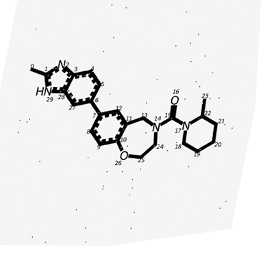 Cc1nc2ccc(-c3ccc4c(c3)CN(C(=O)N3CCCCC3C)CCO4)cc2[nH]1